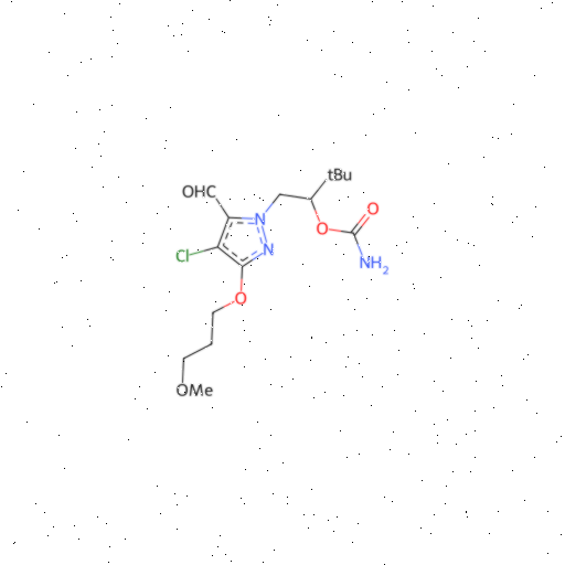 COCCCOc1nn(CC(OC(N)=O)C(C)(C)C)c(C=O)c1Cl